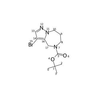 CC(C)(C)OC(=O)N1CCCn2ncc(Br)c2C1